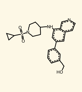 O=S(=O)(C1CC1)N1CCC(Nc2cc(-c3cccc(CO)c3)cc3ccncc23)CC1